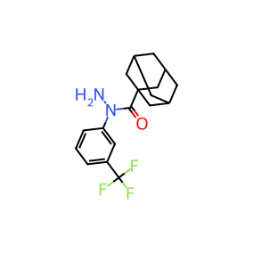 NN(C(=O)C12CC3CC(CC(C3)C1)C2)c1cccc(C(F)(F)F)c1